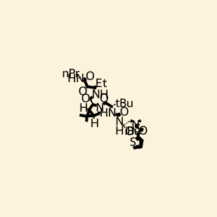 CCCNC(=O)C(=O)C(CC)NC(=O)[C@@H]1[C@@H]2[C@H](CN1C(=O)[C@@H](NC(=O)N[C@H](CN(C)S(=O)(=O)c1cccs1)[C@@H](C)CC)C(C)(C)C)C2(C)C